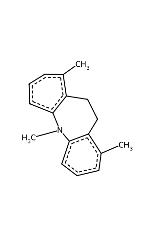 Cc1cccc2c1CCc1c(C)cccc1N2C